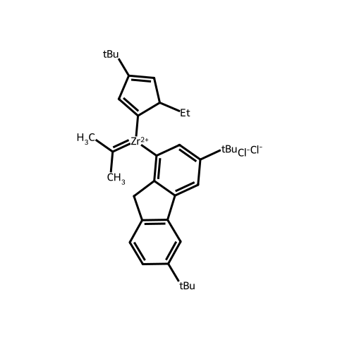 CCC1C=C(C(C)(C)C)C=[C]1[Zr+2](=[C](C)C)[c]1cc(C(C)(C)C)cc2c1Cc1ccc(C(C)(C)C)cc1-2.[Cl-].[Cl-]